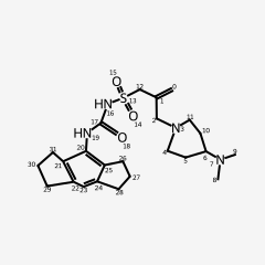 C=C(CN1CCC(N(C)C)CC1)CS(=O)(=O)NC(=O)Nc1c2c(cc3c1CCC3)CCC2